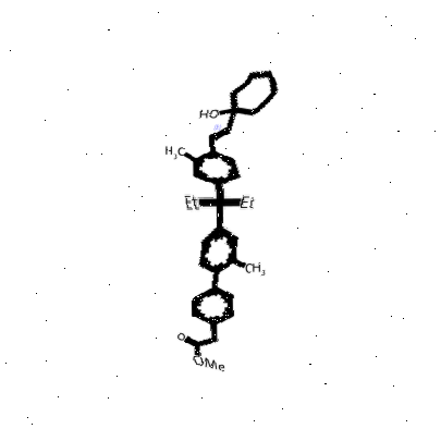 CCC(CC)(c1ccc(/C=C/C2(O)CCCCC2)c(C)c1)c1ccc(-c2ccc(CC(=O)OC)cc2)c(C)c1